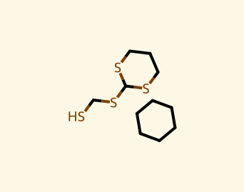 C1CCCCC1.SCSC1SCCCS1